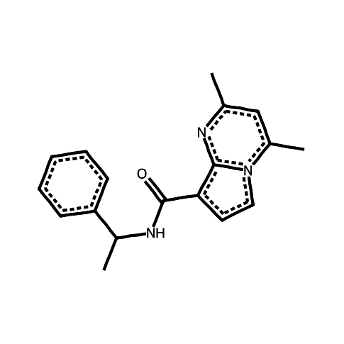 Cc1cc(C)n2ccc(C(=O)NC(C)c3ccccc3)c2n1